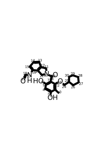 Cc1c(O)cc(O)c(C(=O)N2Cc3cccc(NC=O)c3C2)c1OCC1CCCCC1